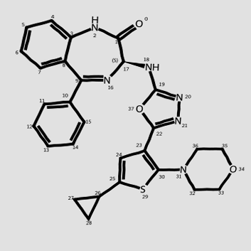 O=C1Nc2ccccc2C(c2ccccc2)=N[C@@H]1Nc1nnc(-c2cc(C3CC3)sc2N2CCOCC2)o1